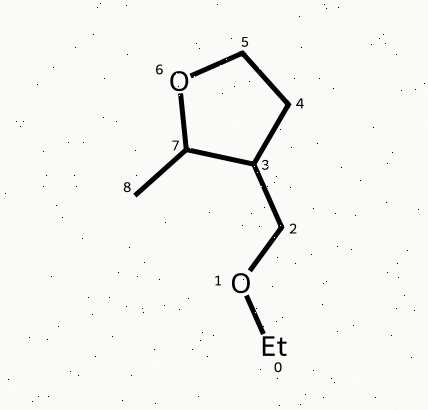 CCOCC1CCOC1C